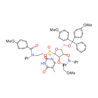 COCCO[C@@H]1[C@H](ON(C(C)C)C(C)C)[C@@H](COC(c2ccccc2)(c2ccc(OC)cc2)c2ccc(OC)cc2)O[C@]1(n1cc(C)c(=O)[nH]c1=O)[PH](=O)OCCN(C(=O)c1ccc(OC)cc1)C(C)C